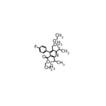 CCOOCc1c(C(C)C)nc(C(C)C)c(C(=O)OCC)c1-c1ccc(F)cc1